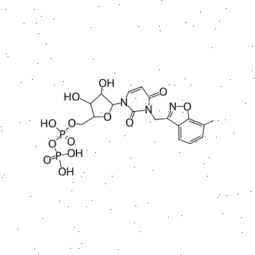 Cc1cccc2c(Cn3c(=O)ccn(C4OC(COP(=O)(O)OP(=O)(O)O)C(O)C4O)c3=O)noc12